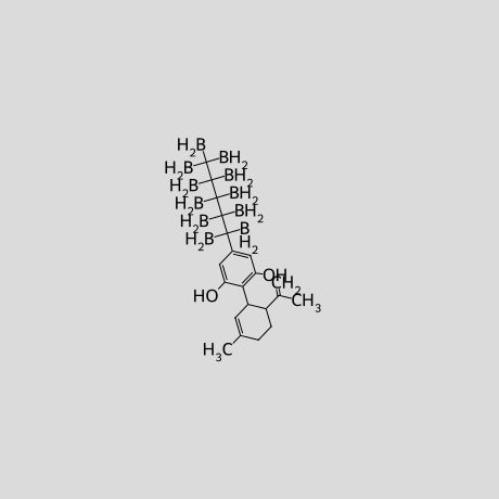 BC(B)(B)C(B)(B)C(B)(B)C(B)(B)C(B)(B)c1cc(O)c(C2C=C(C)CCC2C(=C)C)c(O)c1